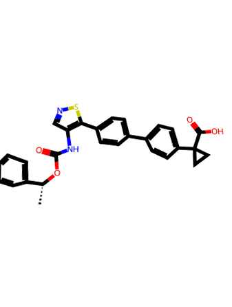 C[C@@H](OC(=O)Nc1cnsc1-c1ccc(-c2ccc(C3(C(=O)O)CC3)cc2)cc1)c1ccccc1